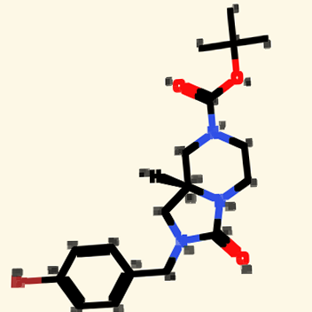 CC(C)(C)OC(=O)N1CCN2C(=O)N(Cc3ccc(Br)cc3)C[C@@H]2C1